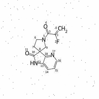 C=C(F)C(=O)N1CCC2(C1)C(=O)Nc1cccnc12